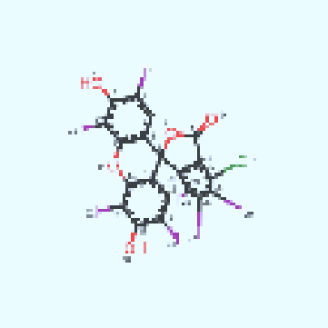 O=C1OC2(c3cc(I)c(O)c(I)c3Oc3c2cc(I)c(O)c3I)c2c(I)c(I)c(I)c(Cl)c21